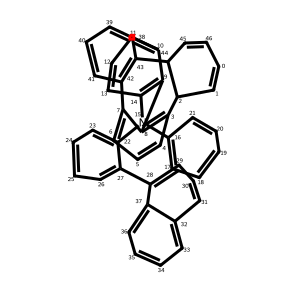 C1=CC2c3cccc4c3-c3c(cccc3N(c3ccccc3)c3ccccc3-c3cccc5ccccc35)-c3cccc-4c3C2C=C1